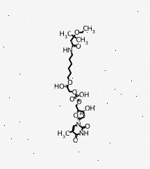 CCOC(C)(C)CC(=O)NCCCCCCO[C@@H](O)COP(=O)(O)OCC1O[C@@H](n2cc(C)c(=O)[nH]c2=O)C[C@H]1O